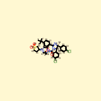 CCOc1cc(C(C)(C)C)ccc1C1=N[C@@](C)(c2ccc(Cl)cc2)[C@@](C)(c2ccc(Cl)cc2)N1C(=O)N1CCN(C2CCS(=O)(=O)C2)CC1